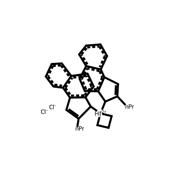 CCCC1=Cc2c(ccc3ccccc23)[CH]1[Hf+2]1([CH]2C(CCC)=Cc3c2ccc2ccccc32)[CH2]C[CH2]1.[Cl-].[Cl-]